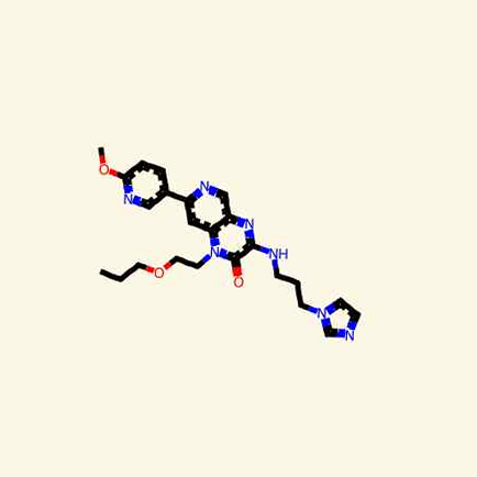 CCCOCCn1c(=O)c(NCCCn2ccnc2)nc2cnc(-c3ccc(OC)nc3)cc21